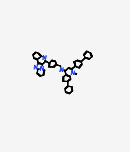 C=N/C(=C\C(=N/Cc1ccc(-c2nc3ccccc3c3nc4ccccn4c23)cc1)c1ccc(-c2ccccc2)cc1)c1ccc(-c2ccccc2)cc1